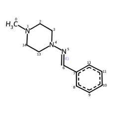 CN1CCN(/N=C/c2ccccc2)CC1